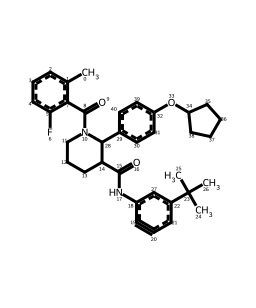 Cc1cccc(F)c1C(=O)N1CCCC(C(=O)Nc2c#ccc(C(C)(C)C)c2)C1c1ccc(OC2CCCC2)cc1